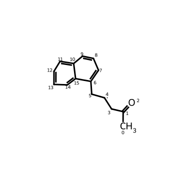 CC(=O)C[CH]Cc1cccc2ccccc12